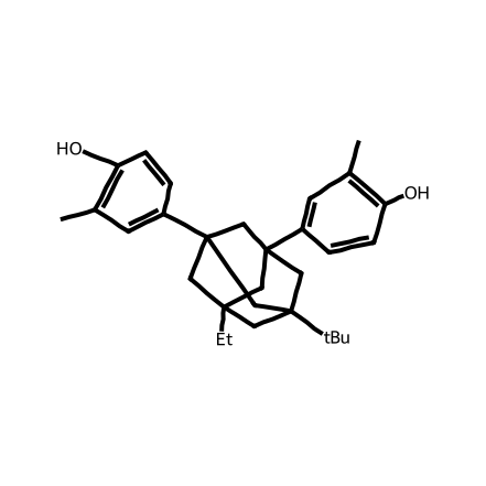 CCC12CC3(c4ccc(O)c(C)c4)CC(c4ccc(O)c(C)c4)(C1)CC(C(C)(C)C)(C2)C3